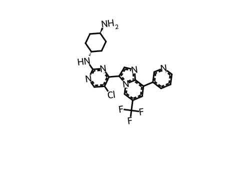 N[C@H]1CC[C@H](Nc2ncc(Cl)c(-c3cnc4c(-c5cccnc5)cc(C(F)(F)F)cn34)n2)CC1